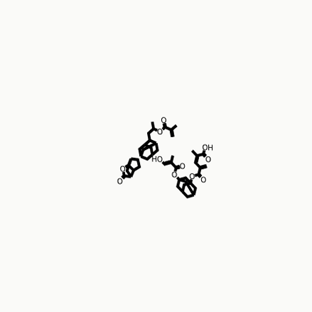 C=C(C)C(=O)OC(C)CC1C2CC3CC(C2)CC1C3.C=C(C=C(C)C(=O)O)C(=O)OC12CC3CC(C1)CC(OC(=O)C(C)=CO)(C3)C2.O=C1OC2C3CCC2C1C3